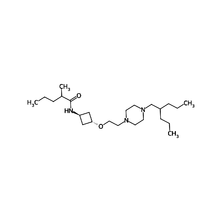 CCCC(CCC)CN1CCN(CCO[C@H]2C[C@H](NC(=O)C(C)CCC)C2)CC1